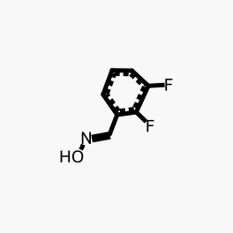 O/N=C/c1cccc(F)c1F